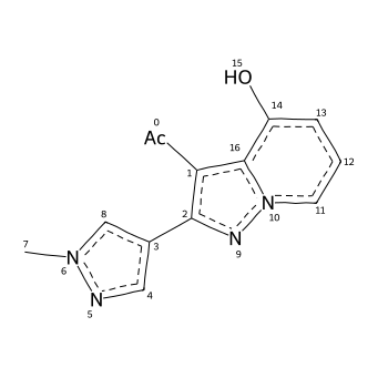 CC(=O)c1c(-c2cnn(C)c2)nn2cccc(O)c12